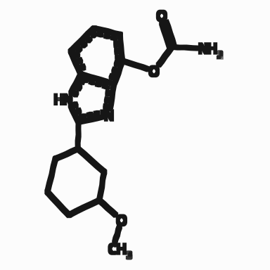 COC1CCCC(c2nc3c(OC(N)=O)cccc3[nH]2)C1